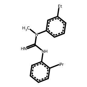 CCc1cccc(N(C)C(=N)Nc2ccccc2C(C)C)c1